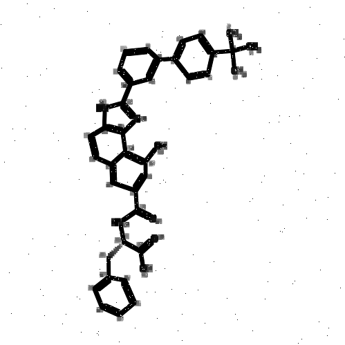 CC(C)(C)c1ccc(-c2cccc(-c3nc4c(ccc5cc(C(=O)N[C@@H](Cc6ccccc6)C(=O)O)cc(O)c54)[nH]3)c2)cc1